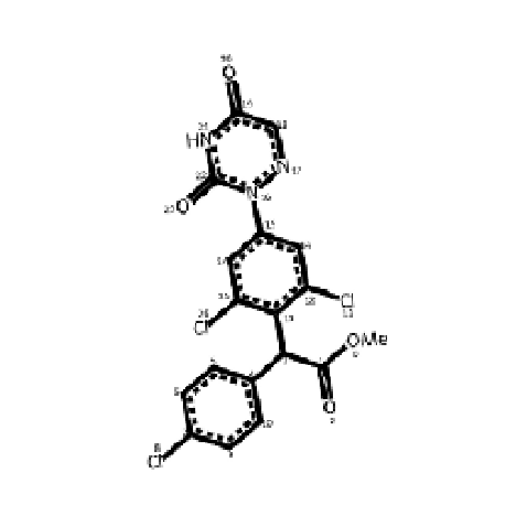 COC(=O)C(c1ccc(Cl)cc1)c1c(Cl)cc(-n2ncc(=O)[nH]c2=O)cc1Cl